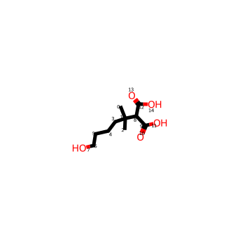 CC(C)(CCCCO)C(C(=O)O)C(=O)O